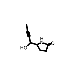 CC#CC(O)C1CCC(=O)N1